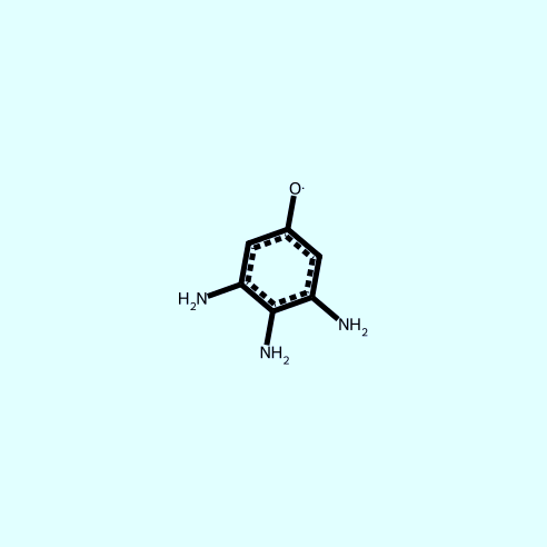 Nc1cc([O])cc(N)c1N